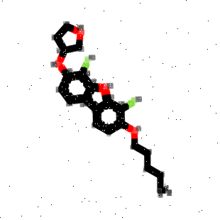 CCCCCOc1ccc2c(oc3c(F)c(OC4CCOC4)ccc32)c1F